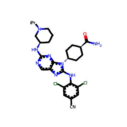 CC(C)N1CCC[C@@H](Nc2ncc3nc(Nc4c(Cl)cc(C#N)cc4Cl)n([C@H]4CC[C@H](C(N)=O)CC4)c3n2)C1